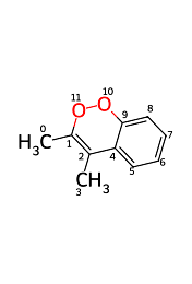 CC1=C(C)c2ccccc2OO1